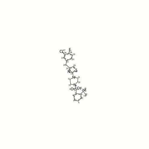 O=S(=O)(c1ccccc1C(F)(F)F)N1CCN(c2nc(Cc3ccc(F)c(Cl)c3)cs2)CC1